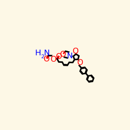 NC(=O)COC(=O)CC/C=C\CCC1[C@@H](OCc2ccc(-c3ccccc3)cc2)CC(=O)[C@@H]1N1CCOCC1